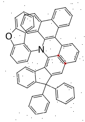 c1ccc(-c2c(N(c3cccc4c3-c3ccccc3C4(c3ccccc3)c3ccccc3)c3cccc4oc5ccccc5c34)c3ccccc3c3ccccc23)cc1